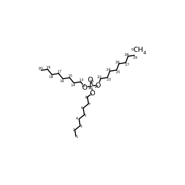 C.CCCCCCCCOP(=O)(OCCCCCCCC)OCCCCCCCC